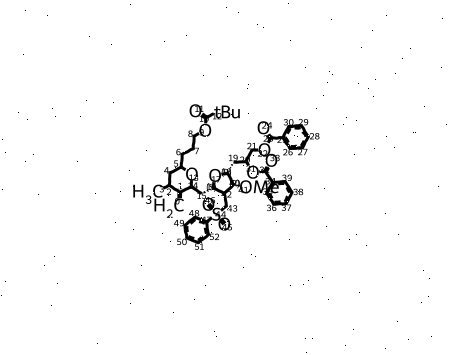 C=C1C(C)CC(CCCOC(=O)C(C)(C)C)OC1C[C@@H]1O[C@H](CC(COC(=O)c2ccccc2)OC(=O)c2ccccc2)[C@H](OC)C1CS(=O)(=O)c1ccccc1